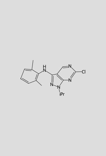 Cc1cccc(C)c1Nc1nn(C(C)C)c2nc(Cl)ncc12